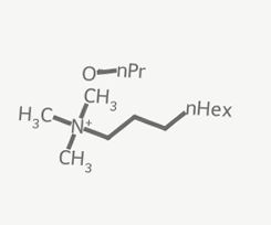 CCCCCCCCC[N+](C)(C)C.CCC[O-]